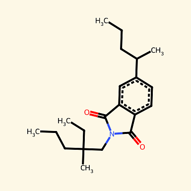 CCCC(C)c1ccc2c(c1)C(=O)N(CC(C)(CC)CCC)C2=O